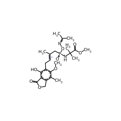 COC(=O)C(C)(C)NP(=O)(C/C(C)=C/Cc1c(O)c2c(c(C)c1OC)COC2=O)ON=C(C)C